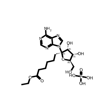 CCOC(=O)CCCCC[C@@]1(n2cnc3c(N)ncnc32)O[C@H](CO)[C@@H](O)[C@H]1O.O=P(O)(O)O